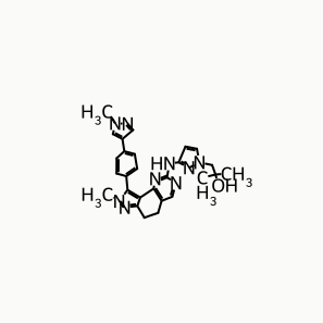 Cn1cc(-c2ccc(-c3c4c(nn3C)CCc3cnc(Nc5ccn(CC(C)(C)O)n5)nc3-4)cc2)cn1